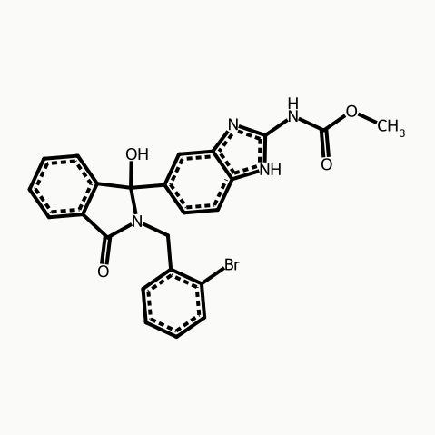 COC(=O)Nc1nc2cc(C3(O)c4ccccc4C(=O)N3Cc3ccccc3Br)ccc2[nH]1